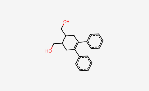 OCC1CC(c2ccccc2)=C(c2ccccc2)CC1CO